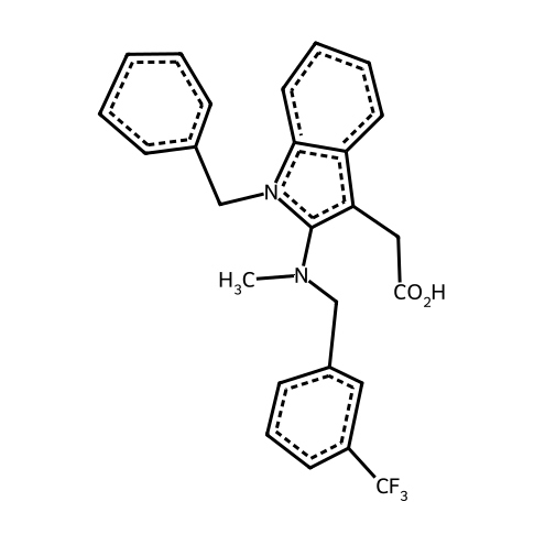 CN(Cc1cccc(C(F)(F)F)c1)c1c(CC(=O)O)c2ccccc2n1Cc1ccccc1